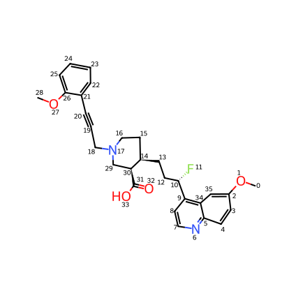 COc1ccc2nccc([C@@H](F)CC[C@@H]3CCN(CC#Cc4ccccc4OC)C[C@@H]3C(=O)O)c2c1